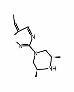 C\C=C(C)/C=N\C(=N/C)N1C[C@@H](C)N[C@@H](C)C1